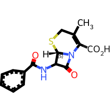 CC1=C(C(=O)O)N2C(=O)C(NC(=O)c3ccccc3)[C@@H]2SC1